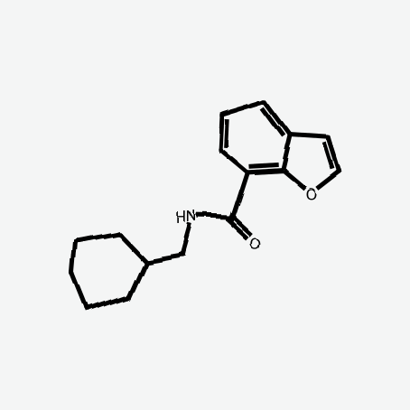 O=C(NCC1CCCCC1)c1cccc2ccoc12